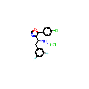 Cl.NC(Cc1cc(F)cc(F)c1)c1ncoc1-c1ccc(Cl)cc1